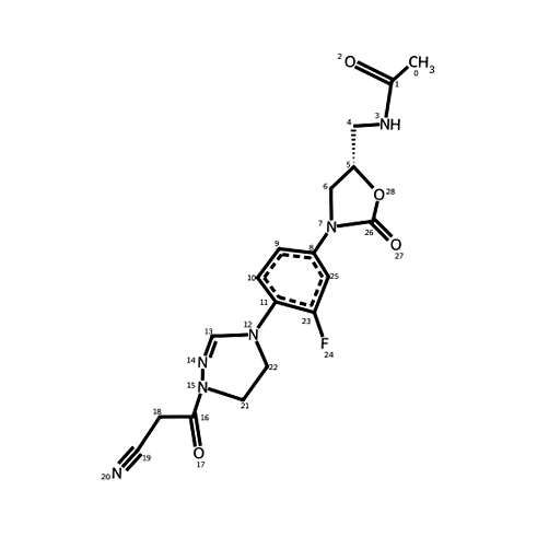 CC(=O)NC[C@H]1CN(c2ccc(N3C=NN(C(=O)CC#N)CC3)c(F)c2)C(=O)O1